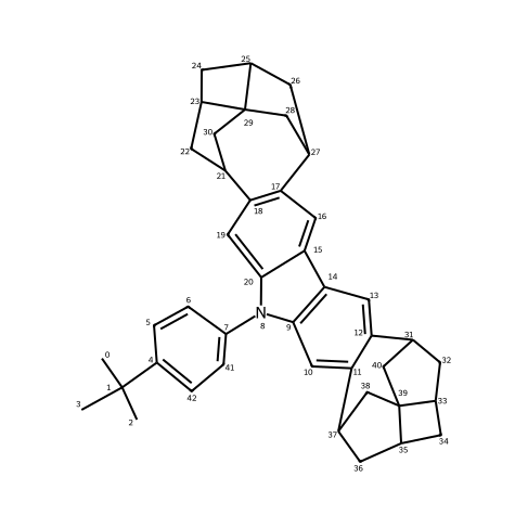 CC(C)(C)c1ccc(-n2c3cc4c(cc3c3cc5c(cc32)C2CC3CC6CC5CC63C2)C2CC3CC5CC4CC35C2)cc1